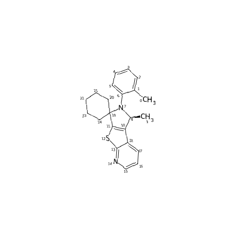 Cc1ccccc1N1[C@@H](C)c2c(sc3ncccc23)C12CCCCC2